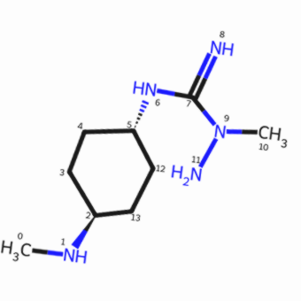 CN[C@H]1CC[C@H](NC(=N)N(C)N)CC1